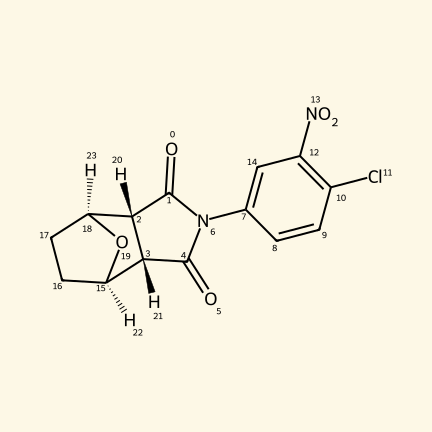 O=C1[C@@H]2[C@H](C(=O)N1c1ccc(Cl)c([N+](=O)[O-])c1)[C@H]1CC[C@@H]2O1